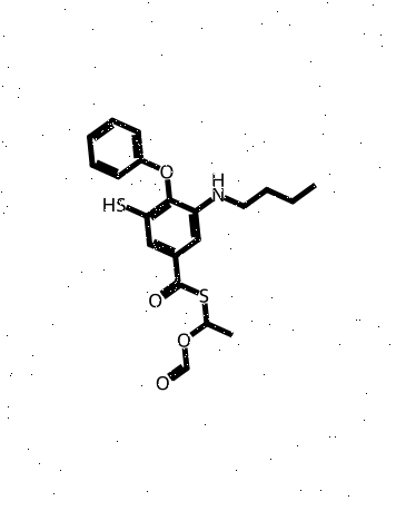 CCCCNc1cc(C(=O)SC(C)OC=O)cc(S)c1Oc1ccccc1